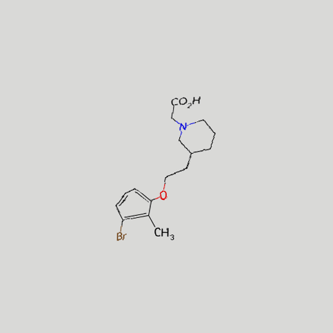 Cc1c(Br)cccc1OCCC1CCCN(CC(=O)O)C1